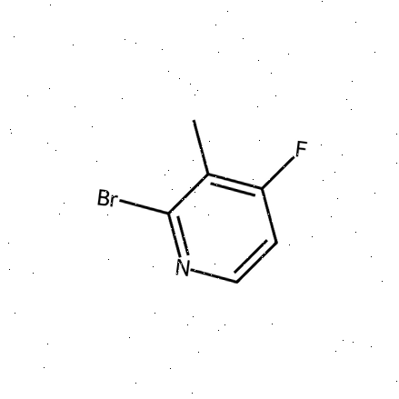 Cc1c(F)ccnc1Br